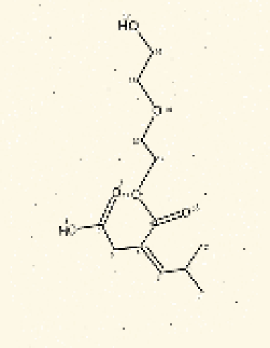 CC(C)C=C(CC(=O)O)C(=O)OCCOCCO